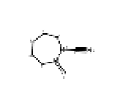 N#CN1CCCCCC1=O